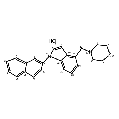 Cl.c1ccc2cc(-n3ccc4c(CN5CCSCC5)cccc43)ccc2c1